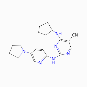 N#Cc1cnc(Nc2ccc(N3CCCC3)cn2)nc1NC1CCCC1